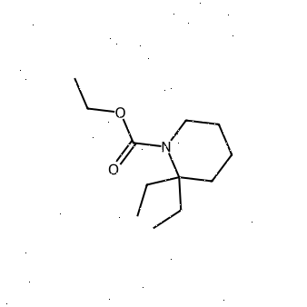 CCOC(=O)N1CCCCC1(CC)CC